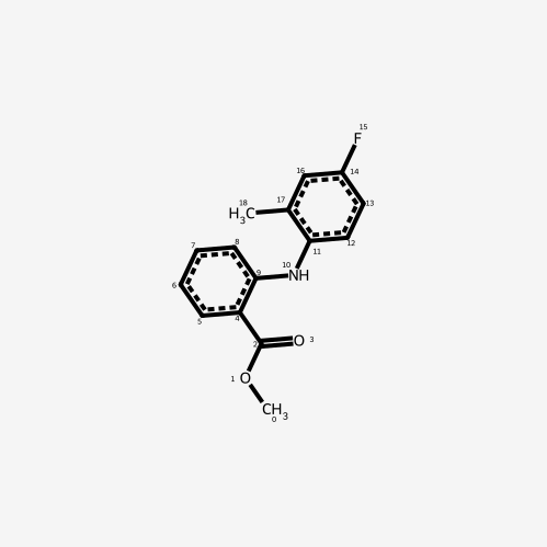 COC(=O)c1ccccc1Nc1ccc(F)cc1C